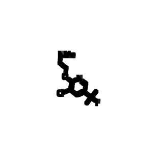 CNCCOc1ncc(C(C)(C)F)cc1Cl